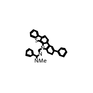 CNC(/N=C/n1c2c(c3ccc4c5ccccc5sc4c31)C=C(c1ccccc1)CC2)c1ccccc1